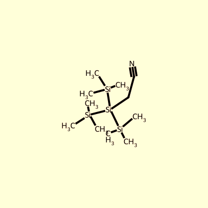 C[Si](C)(C)[Si](CC#N)([Si](C)(C)C)[Si](C)(C)C